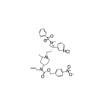 C=CCN(C(=O)OCc1ccc([N+](=O)[O-])cc1)C1CCN(CC[C@H](CN(C)S(=O)(=O)c2ccccc2)c2ccccc2)C(C)C1.Cl